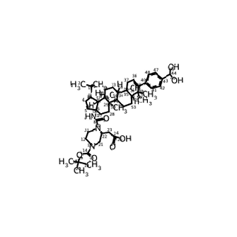 C=C(C)[C@@H]1CC[C@]2(NC(=O)N3CCN(C(=O)OC(C)(C)C)CC3CC(=O)O)CC[C@]3(C)[C@H](CC[C@@H]4[C@@]5(C)CC=C(c6ccc(C(O)O)cc6)C(C)(C)[C@@H]5CC[C@]43C)[C@@H]12